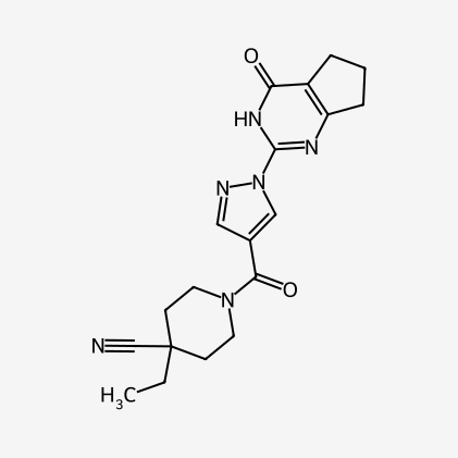 CCC1(C#N)CCN(C(=O)c2cnn(-c3nc4c(c(=O)[nH]3)CCC4)c2)CC1